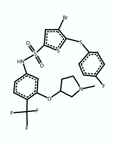 CN1CCC(Oc2cc(NS(=O)(=O)c3cc(Br)c(Sc4ccc(F)cc4)s3)ccc2C(F)(F)F)C1